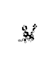 Cc1nn(COCC[Si](C)(C)C)c(-c2cc(N3CCOCC3)ncc2NC(=O)OC(C)(C)C)c1[N+](=O)[O-]